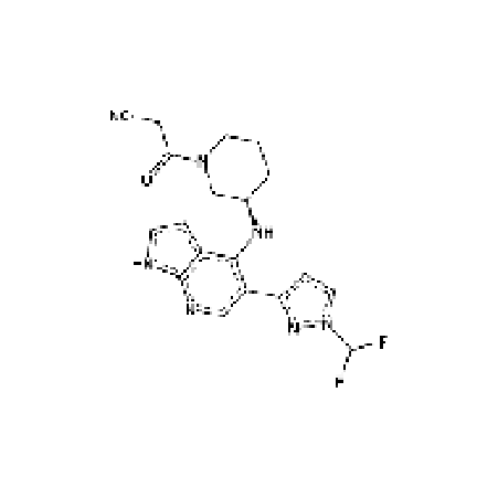 N#CCC(=O)N1CCC[C@@H](Nc2c(-c3ccn(C(F)F)n3)cnc3[nH]ccc23)C1